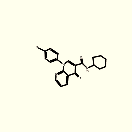 O=C(NC1CCCCC1)c1cn(-c2ccc(F)cc2)c2ncccc2c1=O